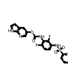 O=C(Nc1c(F)ccc(NS(=O)(=O)c2ccccn2)c1F)Oc1cnc2[nH]ccc2c1